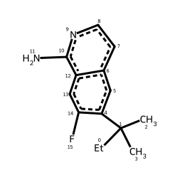 CCC(C)(C)c1cc2ccnc(N)c2cc1F